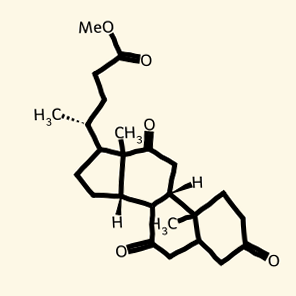 COC(=O)CC[C@@H](C)C1CC[C@H]2C3C(=O)CC4CC(=O)CCC4(C)[C@H]3CC(=O)C12C